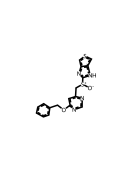 [O-][S+](Cc1cc(OCc2ccccc2)ncn1)c1nc2cscc2[nH]1